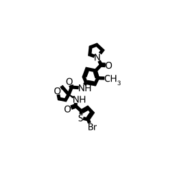 Cc1cc(NC(=O)[C@]2(NC(=O)c3ccc(Br)s3)CCOC2)ccc1C(=O)N1CCCC1